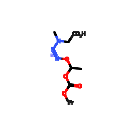 CC(C)OC(=O)OC(C)O/N=N\N(C)CC(=O)O